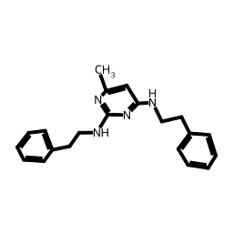 Cc1cc(NCCc2ccccc2)nc(NCCc2ccccc2)n1